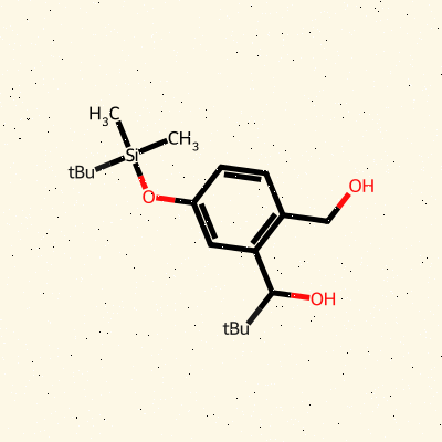 CC(C)(C)C(O)c1cc(O[Si](C)(C)C(C)(C)C)ccc1CO